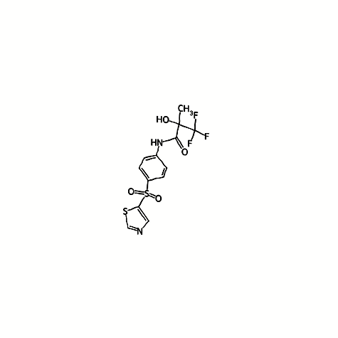 CC(O)(C(=O)Nc1ccc(S(=O)(=O)c2cncs2)cc1)C(F)(F)F